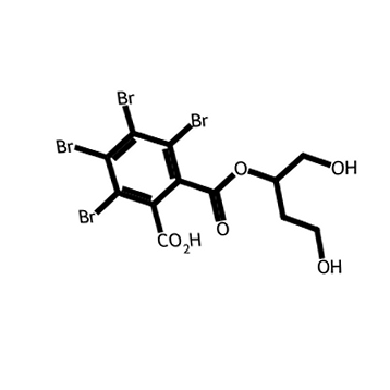 O=C(O)c1c(Br)c(Br)c(Br)c(Br)c1C(=O)OC(CO)CCO